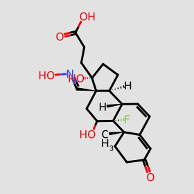 C[C@]12CCC(=O)C=C1C=C[C@H]1[C@@H]3CC[C@](O)(CCC(=O)O)[C@@]3(C=NO)CC(O)[C@@]12F